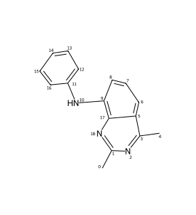 Cc1nc(C)c2cccc(Nc3ccccc3)c2n1